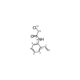 C=Cc1ccccc1NC(=O)CCl